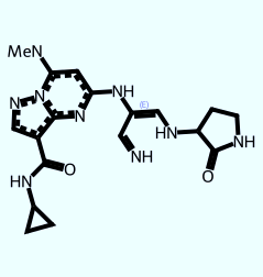 CNc1cc(N/C(C=N)=C/NC2CCNC2=O)nc2c(C(=O)NC3CC3)cnn12